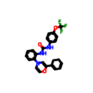 O=C(Nc1ccc(OC(F)(F)F)cc1)Nc1ccccc1N1C=COC(C2=CC=CCC2)=C1